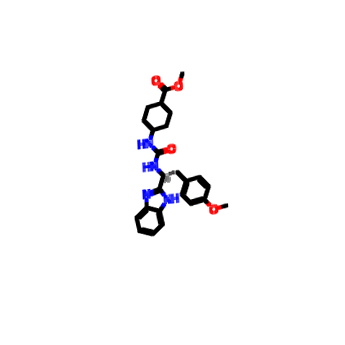 COC(=O)C1CCC(NC(=O)N[C@H](Cc2ccc(OC)cc2)c2nc3ccccc3[nH]2)CC1